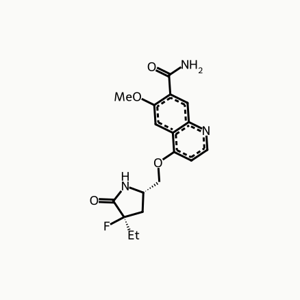 CC[C@@]1(F)C[C@@H](COc2ccnc3cc(C(N)=O)c(OC)cc23)NC1=O